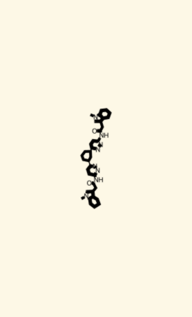 Cn1cc(CC(=O)Nc2ccc([C@@H]3CCC[C@H](c4ccc(NC(=O)Cc5cn(C)c6ccccc56)nn4)C3)nn2)c2ccccc21